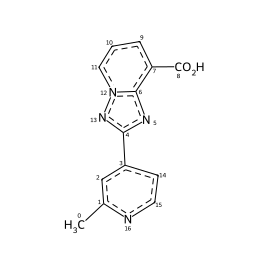 Cc1cc(-c2nc3c(C(=O)O)cccn3n2)ccn1